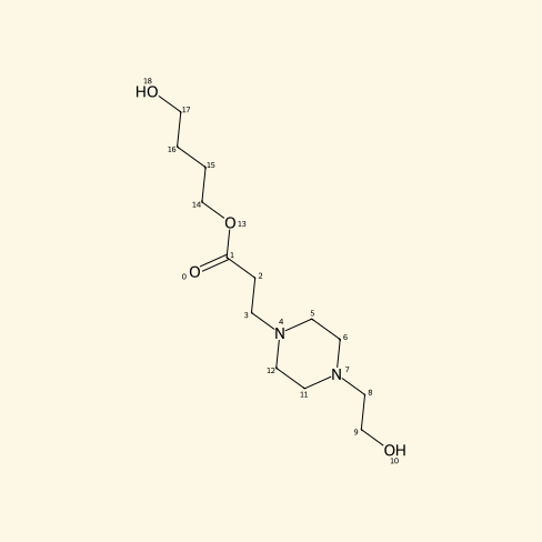 O=C(CCN1CCN(CCO)CC1)OCCCCO